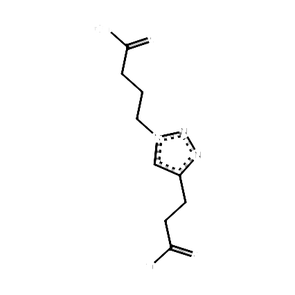 CC(C)(C)C(=O)CCCn1cc(CCC(=O)C(C)(C)C)nn1